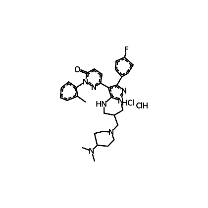 Cc1ccccc1-n1nc(-c2c(-c3ccc(F)cc3)nn3c2NCC(CN2CCC(N(C)C)CC2)C3)ccc1=O.Cl.Cl